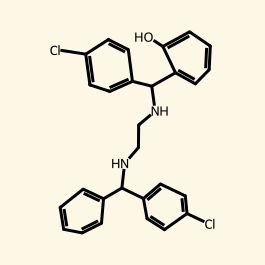 Oc1ccccc1C(NCCNC(c1ccccc1)c1ccc(Cl)cc1)c1ccc(Cl)cc1